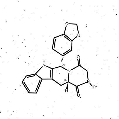 CC(C)N1CC(=O)N2[C@@H](c3ccc4c(c3)OCO4)c3[nH]c4ccccc4c3C[C@H]2C1=O